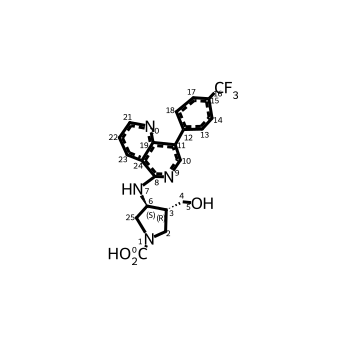 O=C(O)N1C[C@@H](CO)[C@H](Nc2ncc(-c3ccc(C(F)(F)F)cc3)c3ncccc23)C1